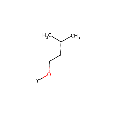 CC(C)CC[O][Y]